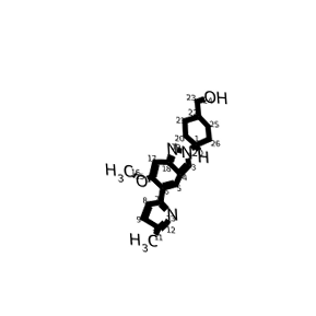 [2H]C1(n2cc3cc(-c4ccc(C)cn4)c(OC)cc3n2)CCC(CO)CC1